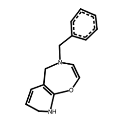 C1=CC2=C(NC1)OC=CN(Cc1ccccc1)C2